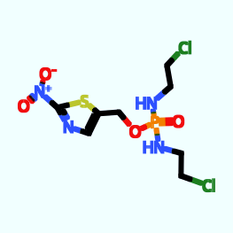 O=[N+]([O-])c1ncc(COP(=O)(NCCCl)NCCCl)s1